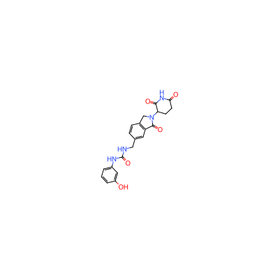 O=C1CCC(N2Cc3ccc(CNC(=O)Nc4cccc(O)c4)cc3C2=O)C(=O)N1